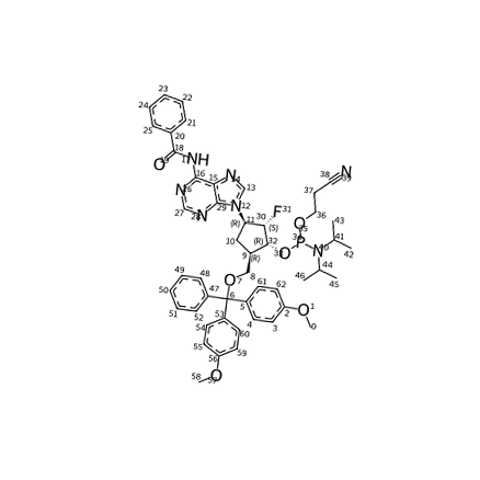 COc1ccc(C(OC[C@H]2C[C@@H](n3cnc4c(NC(=O)c5ccccc5)ncnc43)[C@H](F)[C@@H]2OP(OCCC#N)N(C(C)C)C(C)C)(c2ccccc2)c2ccc(OC)cc2)cc1